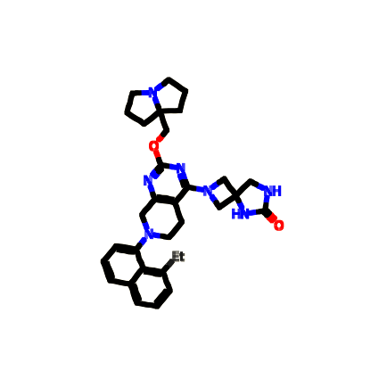 CCc1cccc2cccc(N3CCc4c(nc(OCC56CCCN5CCC6)nc4N4CC5(CNC(=O)N5)C4)C3)c12